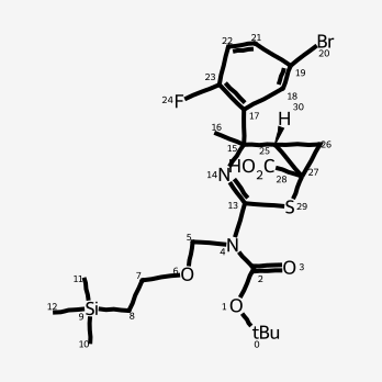 CC(C)(C)OC(=O)N(COCC[Si](C)(C)C)C1=NC(C)(c2cc(Br)ccc2F)[C@@H]2CC2(C(=O)O)S1